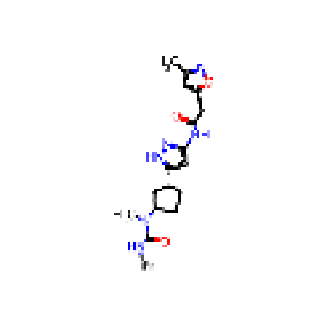 Cc1cc(CC(=O)Nc2cc([C@@H]3CC[C@@H](N(C)C(=O)NC(C)C)C3)[nH]n2)on1